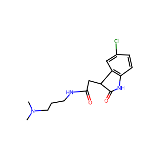 CN(C)CCCNC(=O)CC1C(=O)Nc2ccc(Cl)cc21